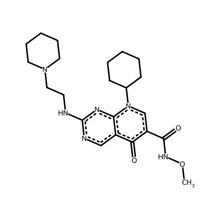 CONC(=O)c1cn(C2CCCCC2)c2nc(NCCN3CCCCC3)ncc2c1=O